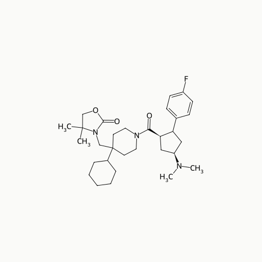 CN(C)[C@@H]1CC(c2ccc(F)cc2)[C@H](C(=O)N2CCC(CN3C(=O)OCC3(C)C)(C3CCCCC3)CC2)C1